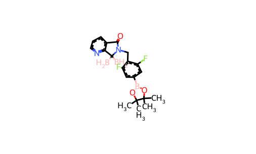 BC1(B)c2ncccc2C(=O)N1Cc1c(F)cc(B2OC(C)(C)C(C)(C)O2)cc1F